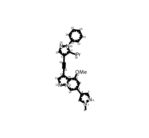 COc1cc(-c2cnn(C)c2)cn2ncc(C#Cc3cnn(-c4ccccc4)c3C(C)C)c12